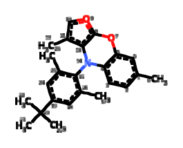 Cc1ccc2c(c1)Oc1occ(C)c1N2c1c(C)cc(C(C)(C)C)cc1C